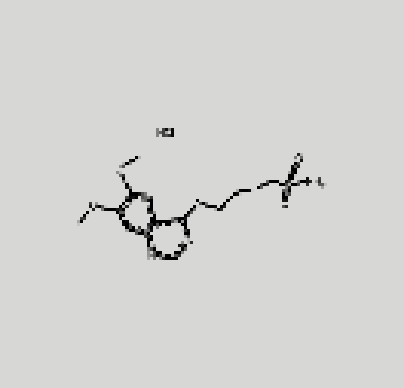 COc1cc2ncnc(SCCCCS(N)(=O)=O)c2cc1OC.Cl